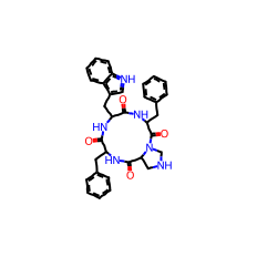 O=C1NC(Cc2ccccc2)C(=O)N2CNCC2C(=O)NC(Cc2ccccc2)C(=O)NC1Cc1c[nH]c2ccccc12